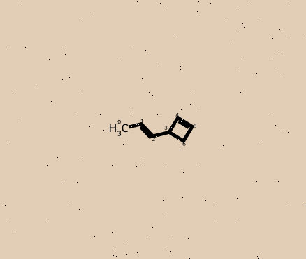 CC=CC1C=CC1